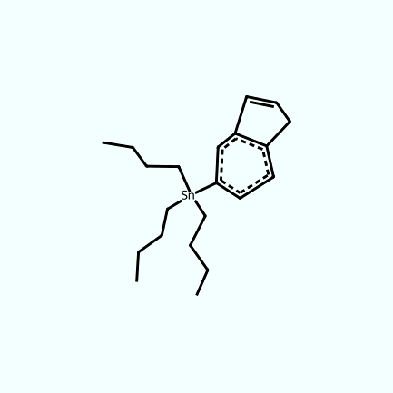 CCC[CH2][Sn]([CH2]CCC)([CH2]CCC)[c]1ccc2c(c1)C=CC2